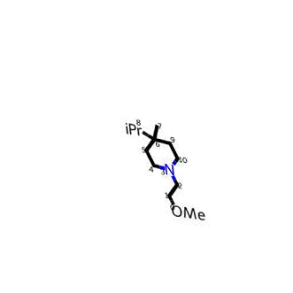 COCCN1CCC(C)(C(C)C)CC1